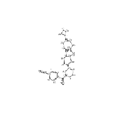 N#Cc1ccc(C(=O)N2CCCC(c3ccc4c(c3)nc3n4CCN(C4CCC4)CC3)C2)cc1